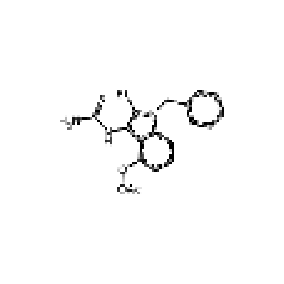 CCc1c(NC(N)=S)c2c(OOC(C)=O)cccc2n1Cc1ccccc1